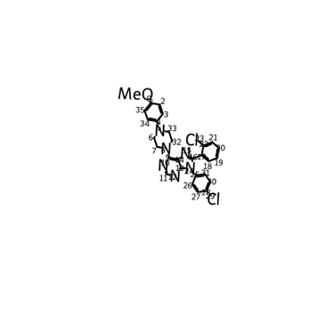 COc1ccc(N2CCN(c3ncnc4c3nc(-c3ccccc3Cl)n4-c3ccc(Cl)cc3)CC2)cc1